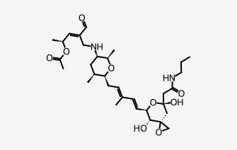 CCCNC(=O)C[C@]1(O)C[C@@]2(CO2)[C@H](O)[C@@H](/C=C/C(C)=C/C[C@@H]2O[C@H](C)[C@H](NC/C(C=O)=C\[C@H](C)OC(C)=O)C[C@@H]2C)O1